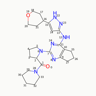 O=C(C1CCCN1c1nc2c(c(Nc3cc(C4CCOCC4)[nH]n3)n1)CCC2)N1CCCCC1